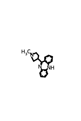 CN1CCC(C2=Nc3ccccc3Nc3ccccc32)CC1